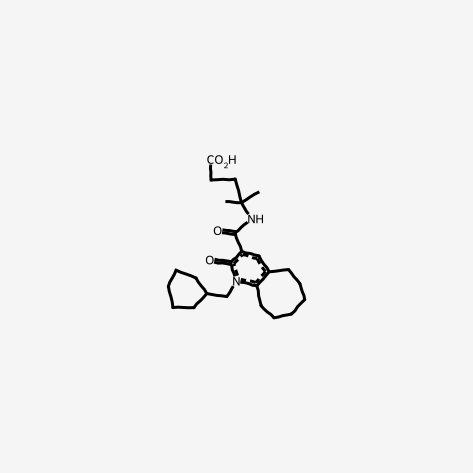 CC(C)(CCC(=O)O)NC(=O)c1cc2c(n(CC3CCCCC3)c1=O)CCCCCC2